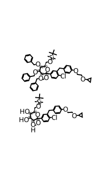 CO[C@@]1(c2ccc(Cl)c(Cc3ccc(OCCOC4CC4)cc3)c2)O[C@H](CO[Si](C)(C)C(C)(C)C)[C@@H](O)[C@H](O)[C@H]1O.CO[C@@]1(c2ccc(Cl)c(Cc3ccc(OCCOC4CC4)cc3)c2)O[C@H](CO[Si](C)(C)C(C)(C)C)[C@@H](OCc2ccccc2)[C@H](OCc2ccccc2)[C@H]1OCc1ccccc1